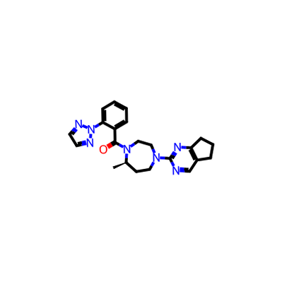 C[C@@H]1CCN(c2ncc3c(n2)CCC3)CCN1C(=O)c1ccccc1-n1nccn1